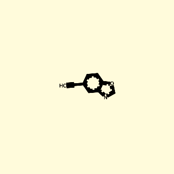 C#Cc1ccc2ocnc2c1